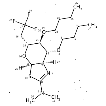 CCCCO[C@@H]1[C@H]2N=C(N(C)C)S[C@H]2O[C@H](CC(F)(F)F)[C@H]1OCCCC